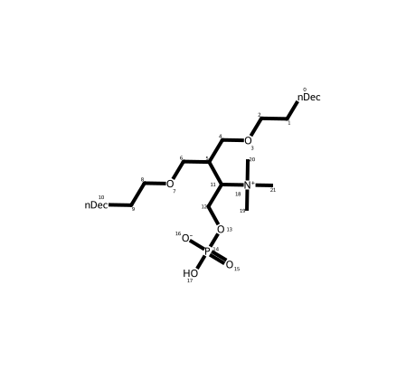 CCCCCCCCCCCCOCC(COCCCCCCCCCCCC)C(COP(=O)([O-])O)[N+](C)(C)C